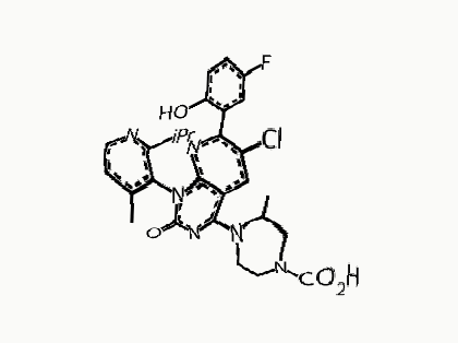 Cc1ccnc(C(C)C)c1-n1c(=O)nc(N2CCN(C(=O)O)CC2C)c2cc(Cl)c(-c3cc(F)ccc3O)nc21